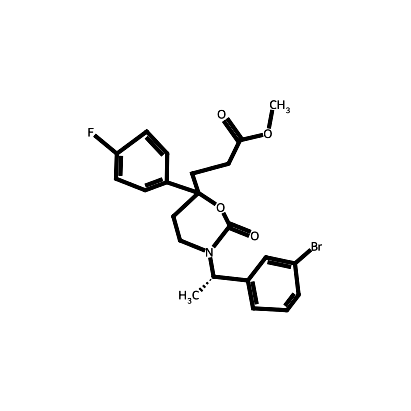 COC(=O)CCC1(c2ccc(F)cc2)CCN([C@@H](C)c2cccc(Br)c2)C(=O)O1